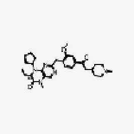 CC[C@@H]1C(=O)N(C)c2cnc(Cc3ccc(C(=O)CC4CCN(C)CC4)cc3OC)nc2N1C1CCCC1